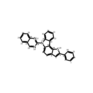 c1ccc(-c2cc3ccc4c(c5ccccc5n4-c4ncc5ccccc5n4)c3s2)cc1